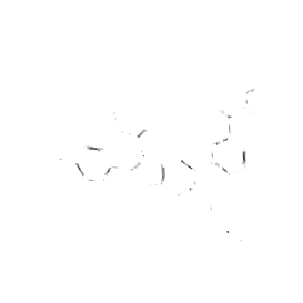 C=CNC(=O)c1cccc(-c2cc3c(C(=O)NC)c(-c4ccc(F)cc4)oc3cc2OCC(F)(F)F)c1